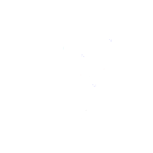 CC(C)(CONC(=O)c1oc2ccncc2c1Nc1ccc(I)cc1F)OCc1ccccc1